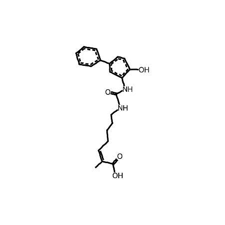 CC(=CCCCCNC(=O)Nc1cc(-c2ccccc2)ccc1O)C(=O)O